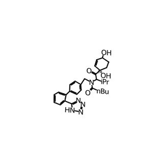 CCCCC(=O)N(Cc1ccc(-c2ccccc2-c2nnn[nH]2)cc1)C(C(=O)[C@@]1(O)C=CC(O)CC1)C(C)C